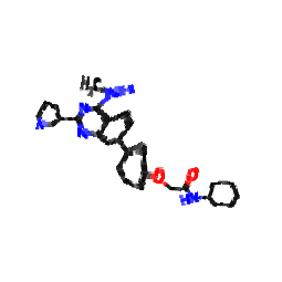 CNc1nc(-c2cccnc2)nc2cc(-c3cccc(OCC(=O)NC4CCCCC4)c3)ccc12